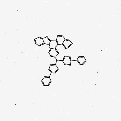 c1ccc(-c2ccc(N(c3ccc(-c4ccccc4)cc3)c3ccc4c(c3)c3c5ccccc5ccc3c3nc5ccccc5n43)cc2)cc1